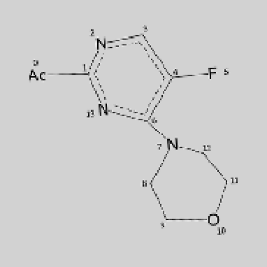 CC(=O)c1ncc(F)c(N2CCOCC2)n1